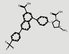 N[C@@H]1C[C@H](C(=O)O)[C@@H](c2ccc(-c3cc(C(=O)O)cc4cc(-c5ccc(C(F)(F)F)cc5)ccc34)cc2)C1